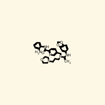 C=C(Nc1ccc2c(c1)OCO2)N(CCCN1CCOCC1)Cc1ccc(C(=O)Nc2ccccc2N)nc1